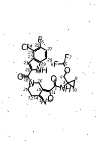 O=C(NC1(COC(F)F)CC1)c1onc2c1CN(C(=O)c1cc3c(Cl)c(F)ccc3[nH]1)CC2